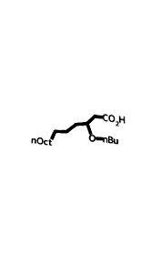 CCCCCCCCCCCC(CC(=O)O)OCCCC